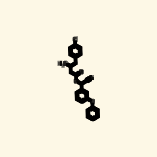 CC(CC(=O)OC(C#N)c1cccc(Oc2ccccc2)c1)Cc1ccc(Cl)cc1